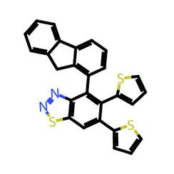 c1csc(-c2cc3snnc3c(-c3cccc4c3Cc3ccccc3-4)c2-c2cccs2)c1